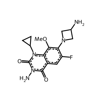 COc1c(N2CC(N)C2)c(F)cc2c(=O)n(N)c(=O)n(C3CC3)c12